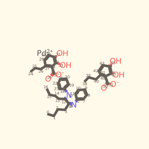 CCCCC(=Nc1ccccc1)C(CCCC)=Nc1ccccc1.CCCc1ccc(O)c(O)c1C(=O)[O-].CCCc1ccc(O)c(O)c1C(=O)[O-].[Pd+2]